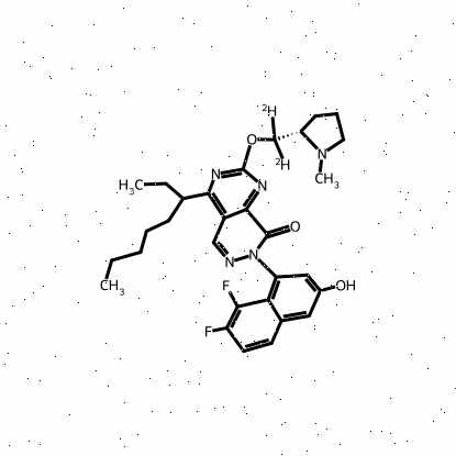 [2H]C([2H])(Oc1nc(C(CC)CCCCC)c2cnn(-c3cc(O)cc4ccc(F)c(F)c34)c(=O)c2n1)[C@@H]1CCCN1C